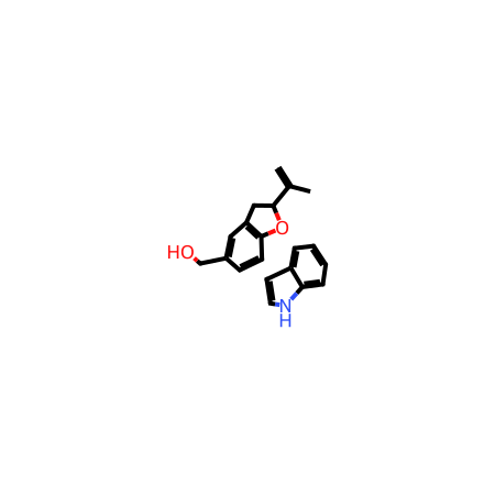 C=C(C)C1Cc2cc(CO)ccc2O1.c1ccc2[nH]ccc2c1